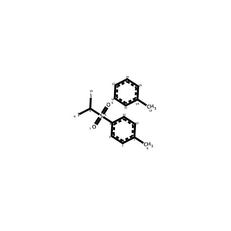 Cc1ccc(S(=O)(=O)C(I)I)cc1.Cc1ccccc1